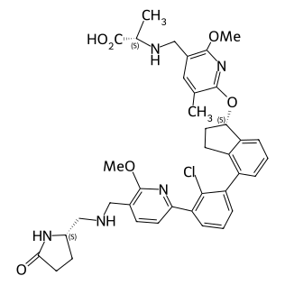 COc1nc(-c2cccc(-c3cccc4c3CC[C@@H]4Oc3nc(OC)c(CN[C@@H](C)C(=O)O)cc3C)c2Cl)ccc1CNC[C@@H]1CCC(=O)N1